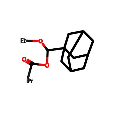 CCOC(OC(=O)C(C)C)C12CC3CC(CC(C3)C1)C2